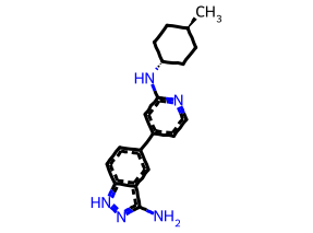 C[C@H]1CC[C@H](Nc2cc(-c3ccc4[nH]nc(N)c4c3)ccn2)CC1